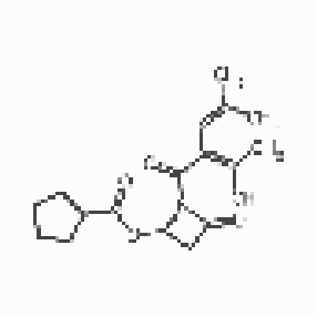 CC(C)=CC(C(=O)N1C(=O)CC1OC(=O)C1CCCC1)=C(C)C